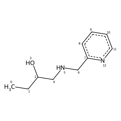 CCC(O)CNCc1ccccn1